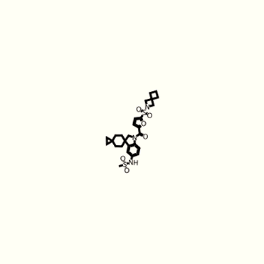 CS(=O)(=O)Nc1ccc2c(c1)C1(CCC3(CC3)CC1)CN2C(=O)c1ccc(S(=O)(=O)N2CC3(CCC3)C2)o1